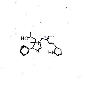 C/C=C(\C=CC1CC=CN1)CN1C=NC(c2c#cccc2)C1(C)CC(C)O